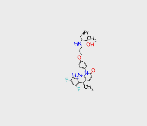 C=C(c1ccc(F)cc1F)c1ccc(=O)n(-c2ccc(OCCCN[C@@H](CC(C)C)C(=C)O)cc2)c1N